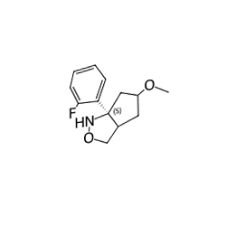 COC1CC2CON[C@@]2(c2ccccc2F)C1